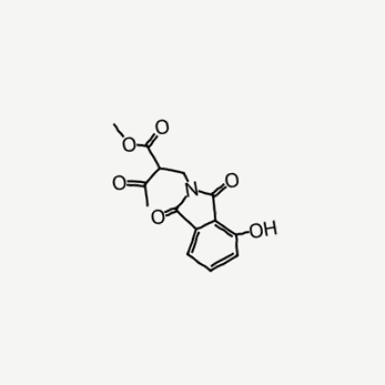 COC(=O)C(CN1C(=O)c2cccc(O)c2C1=O)C(C)=O